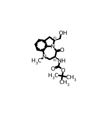 CN1C[C@H](NC(=O)OC(C)(C)C)C(=O)N2c3c(cccc31)C[C@H]2CO